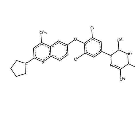 Cc1cc(N2CCCC2)nc2ccc(Oc3c(Cl)cc(N4N=C(C#N)C(O)NC4O)cc3Cl)cc12